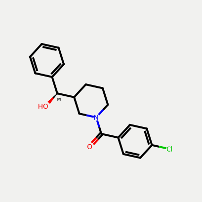 O=C(c1ccc(Cl)cc1)N1CCCC([C@@H](O)c2ccccc2)C1